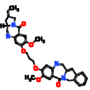 C/C=C1/C[C@H]2C=Nc3cc(OCCCOc4cc5c(cc4OC)C(=O)N4Cc6ccccc6C=C4C=N5)c(OC)cc3C(=O)N2C1